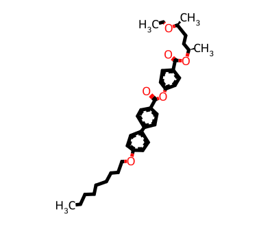 CCCCCCCCCOc1ccc(-c2ccc(C(=O)Oc3ccc(C(=O)O[C@@H](C)CC[C@H](C)OCC)cc3)cc2)cc1